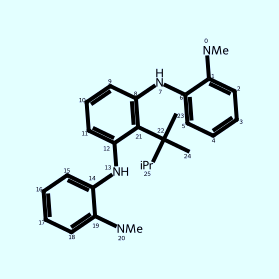 CNc1ccccc1Nc1cccc(Nc2ccccc2NC)c1C(C)(C)C(C)C